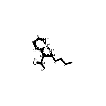 CCCCc1nn2ncccc2c1C(C)=O